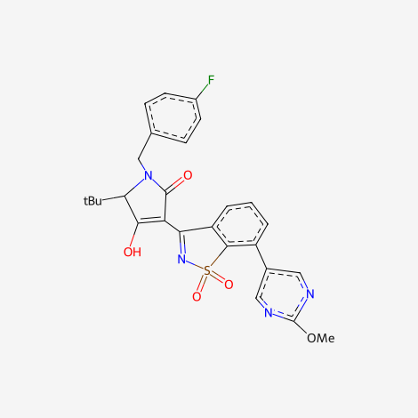 COc1ncc(-c2cccc3c2S(=O)(=O)N=C3C2=C(O)C(C(C)(C)C)N(Cc3ccc(F)cc3)C2=O)cn1